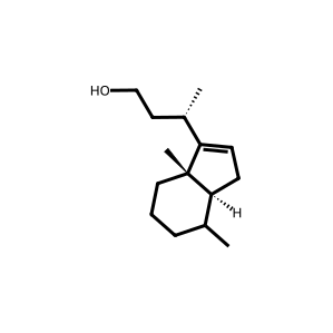 CC1CCC[C@]2(C)C([C@@H](C)CCO)=CC[C@@H]12